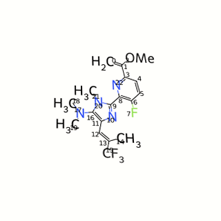 C=C(OC)c1ccc(F)c(-c2nc(/C=C(\C)C(F)(F)F)c(N(C)C)n2C)n1